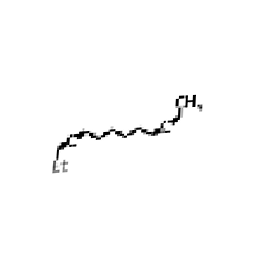 CC=C=CCCCCC=C=CCC